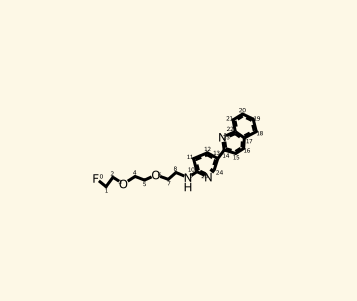 FCCOCCOCCNc1ccc(-c2ccc3ccccc3n2)cn1